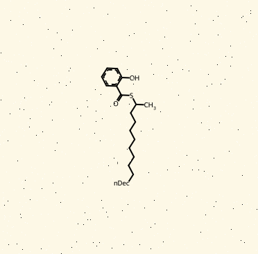 CCCCCCCCCCCCCCCCCCC(C)SC(=O)c1ccccc1O